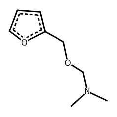 CN(C)COCc1ccco1